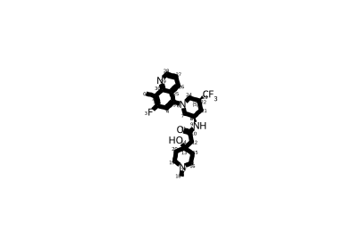 Cc1c(F)cc(N2C[C@H](NC(=O)CC3(O)CCN(C)CC3)C[C@H](C(F)(F)F)C2)c2cccnc12